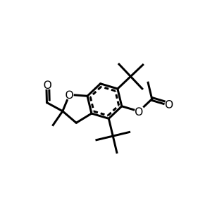 CC(=O)Oc1c(C(C)(C)C)cc2c(c1C(C)(C)C)CC(C)(C=O)O2